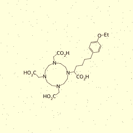 CCOc1ccc(CCCCC(C(=O)O)N2CCN(CC(=O)O)CCN(CC(=O)O)CCN(CC(=O)O)CC2)cc1